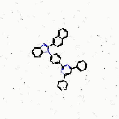 c1ccc(-c2cc(-c3ccccc3)nc(-c3ccc(-n4c(-c5ccc6ccccc6c5)nc5ccccc54)cc3)n2)cc1